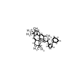 CC1=CC23SCC(C)C(C)(C)C(C=C4COC(C)(C)OC4C2(O)C1OC(=O)c1cncn1-c1ccccc1)C3=O